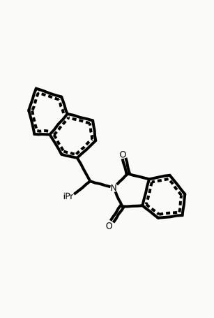 CC(C)C(c1ccc2ccccc2c1)N1C(=O)c2ccccc2C1=O